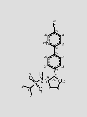 CC(C)S(=O)(=O)N[C@H]1CCO[C@H]1c1ccc(-c2ccc(F)cn2)cc1